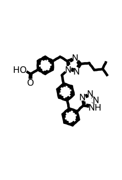 CC(C)CCc1nc(Cc2ccc(C(=O)O)cc2)n(Cc2ccc(-c3ccccc3-c3nnn[nH]3)cc2)n1